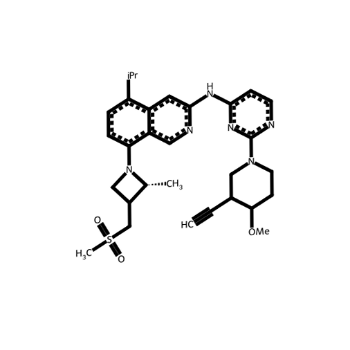 C#CC1CN(c2nccc(Nc3cc4c(C(C)C)ccc(N5CC(CS(C)(=O)=O)[C@H]5C)c4cn3)n2)CCC1OC